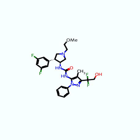 COCCN1C[C@@H](NC(=O)Nc2c(C)c(C(F)(F)CO)nn2-c2ccccc2)[C@H](c2cc(F)cc(F)c2)C1